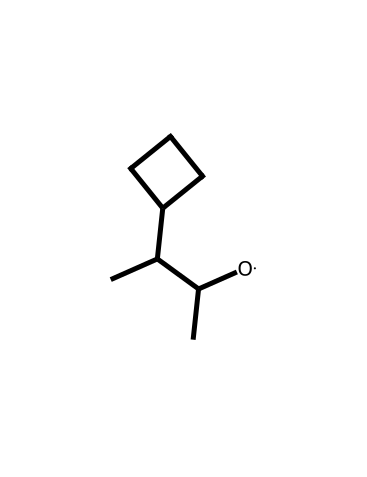 CC([O])C(C)C1CCC1